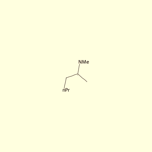 CCCC[C](C)NC